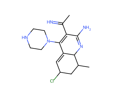 CC(=N)C1=C(N2CCNCC2)C2=CC(Cl)CC(C)C2N=C1N